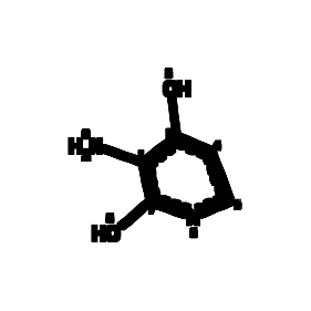 Nc1c(O)ccnc1O